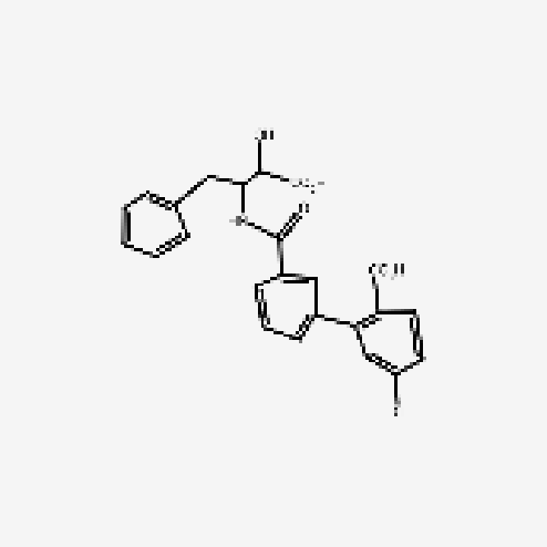 O=C(NC(Cc1ccccc1)C(O)C(=O)O)c1cccc(-c2cc(Cl)ccc2C(=O)O)c1